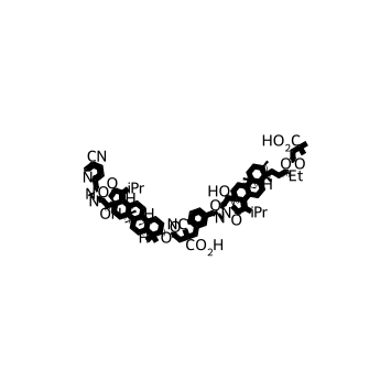 CC[C@H](CC[C@@]1(C)[C@H](C)CC[C@]2(C)[C@@H]1CCC1C3=C(C(C)C)C(=O)C[C@]3([C@H](O)c3nnc(-c4ccc(C#N)c(CC(C)(CC(=O)O[C@H]5CC[C@]6(C)[C@H]7CC[C@@H]8C9=C(C(C)C)C(=O)C[C@]9([C@@H](O)c9nnc(-c%10ccc(C#N)cn%10)o9)CC[C@@]8(C)[C@]7(C)CC[C@H]6C5(C)C)C(=O)O)c4)o3)CC[C@]12C)OC(=O)CC(C)(C)C(=O)O